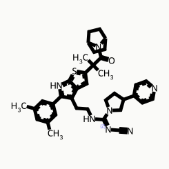 Cc1cc(C)cc(-c2[nH]c3sc(C(C)(C)C(=O)N4C5CCC4CC5)cc3c2CCN/C(=N/C#N)N2CCC(c3ccncc3)C2)c1